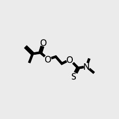 C=C(C)C(=O)OCCOC(=S)N(C)C